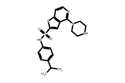 CC(C)c1ccc(NS(=O)(=O)c2cc3c(N4CCNCC4)nccc3s2)cc1